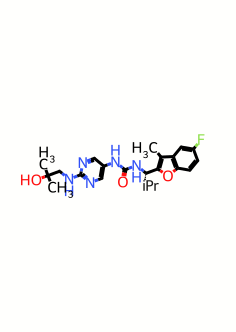 Cc1c([C@@H](NC(=O)Nc2cnc(NCC(C)(C)O)nc2)C(C)C)oc2ccc(F)cc12